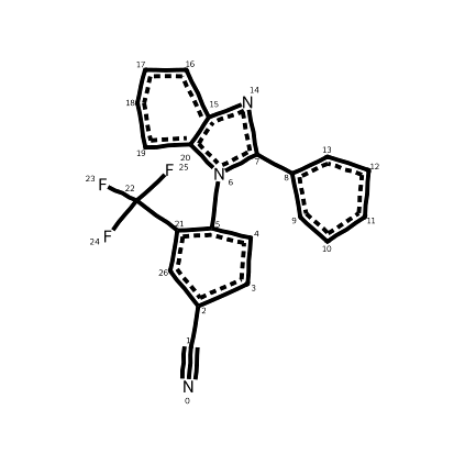 N#Cc1ccc(-n2c(-c3ccccc3)nc3ccccc32)c(C(F)(F)F)c1